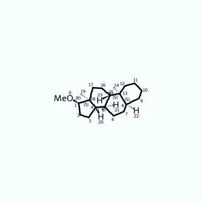 CO[C@@H]1CC[C@H]2[C@@H]3CC[C@@H]4CCCC[C@]4(C)[C@H]3CC[C@]12C